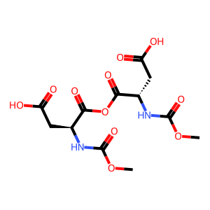 COC(=O)N[C@@H](CC(=O)O)C(=O)OC(=O)[C@H](CC(=O)O)NC(=O)OC